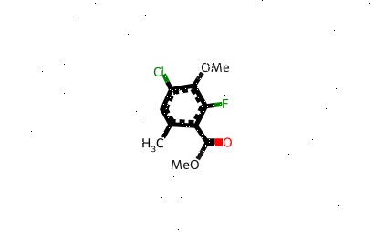 COC(=O)c1c(C)cc(Cl)c(OC)c1F